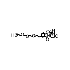 O=C1CCC(N2C(=O)c3ccc(CCCOCCOCCOCCO)cc3C2=O)C(=O)N1